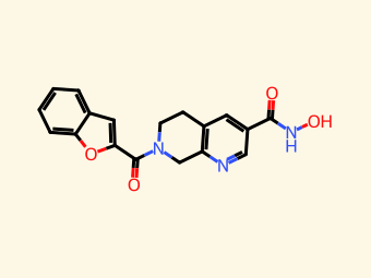 O=C(NO)c1cnc2c(c1)CCN(C(=O)c1cc3ccccc3o1)C2